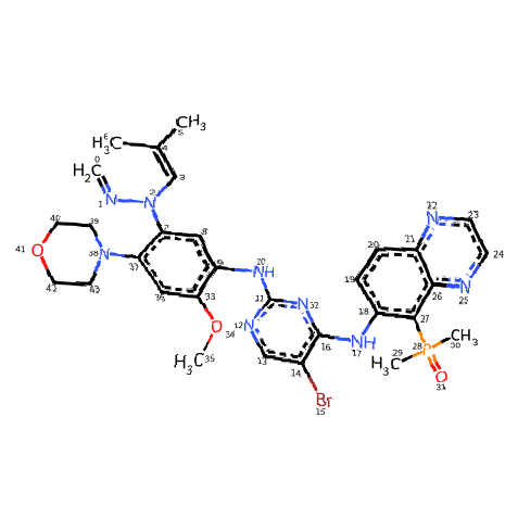 C=NN(C=C(C)C)c1cc(Nc2ncc(Br)c(Nc3ccc4nccnc4c3P(C)(C)=O)n2)c(OC)cc1N1CCOCC1